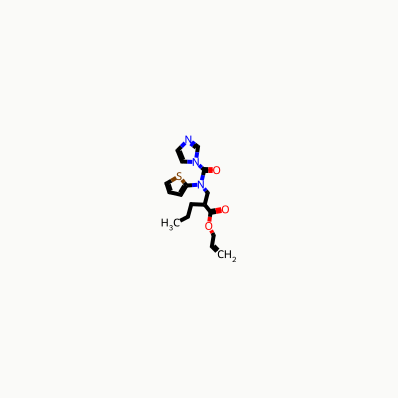 C=CCOC(=O)C(CCC)CN(C(=O)n1ccnc1)c1cccs1